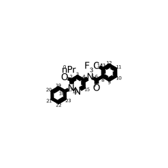 CCCOc1cc(=NC(=O)c2ccccc2C(F)(F)F)cnn1C1C=CCC=C1